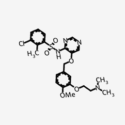 COc1ccc(COc2cncnc2NS(=O)(=O)c2cccc(Cl)c2C)cc1OCCN(C)C